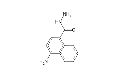 NNC(=O)c1ccc(N)c2ccccc12